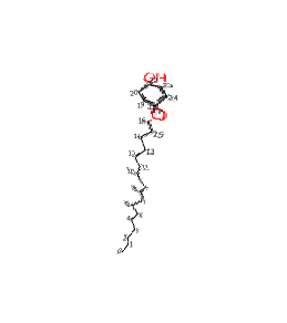 CCCCCCCCCCCCCCCCCOc1ccc(O)cc1